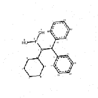 OP(O)N(C1CCCCC1)C(c1ccccc1)c1ccccc1